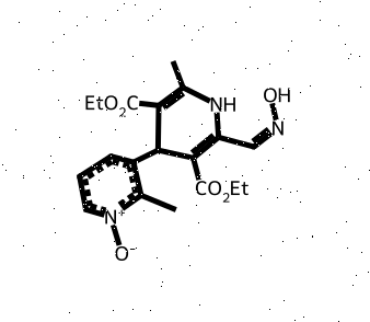 CCOC(=O)C1=C(C)NC(/C=N\O)=C(C(=O)OCC)C1c1ccc[n+]([O-])c1C